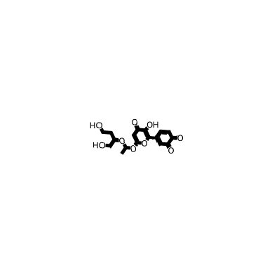 CC(Oc1cc(=O)c(O)c(C2=CC(=O)C(=O)C=C2)o1)OC(CO)CCO